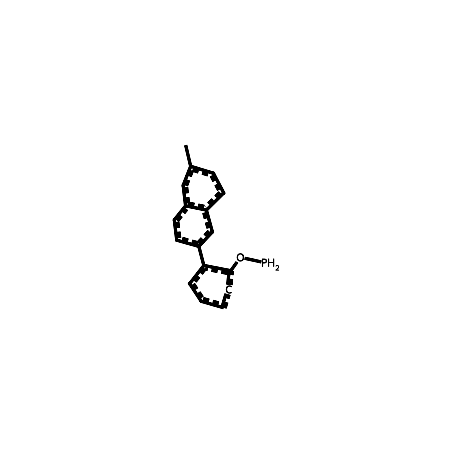 Cc1ccc2cc(-c3ccccc3OP)ccc2c1